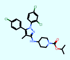 Cc1c(NC2CCN(C(=O)OC(C)C)CC2)nn(-c2ccc(Cl)cc2Cl)c1-c1ccc(Cl)cc1